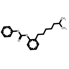 CC(C)CCCCCc1ccccc1OC(=O)Oc1ccccc1